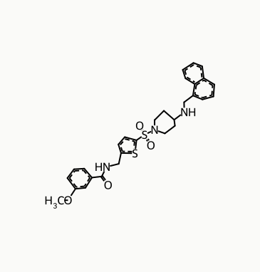 COc1cccc(C(=O)NCc2ccc(S(=O)(=O)N3CCC(NCc4cccc5ccccc45)CC3)s2)c1